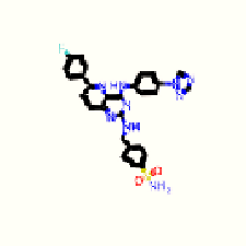 NS(=O)(=O)c1ccc(CNc2nc(Nc3ccc(-n4cncn4)cc3)c3nc(-c4ccc(F)cc4)ccc3n2)cc1